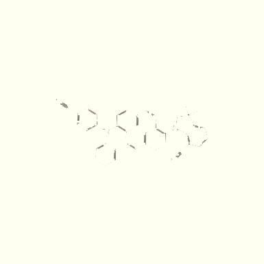 CC1(C)CN(C2=c3ccc4ccc(N(C5=CCCC=C5)c5ccc(C#N)cc5)c5ccc(c3c45)CC2)c2c(C#N)cccc21